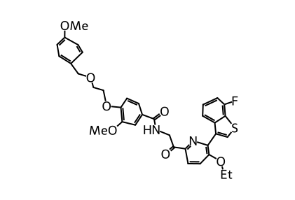 CCOc1ccc(C(=O)CNC(=O)c2ccc(OCCOCc3ccc(OC)cc3)c(OC)c2)nc1-c1csc2c(F)cccc12